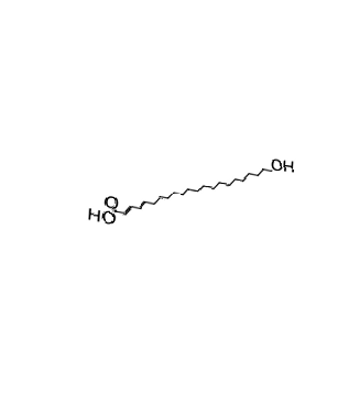 O=C(O)C=CC=CCCCCCCCCCCCCCCCCCO